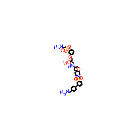 NCc1ccc(-c2cccc(S(=O)(=O)N3CCC4(CC3)C[C@@H](NC[C@H](O)COc3cccc(S(=O)(=O)CC(N)=O)c3)CO4)c2)cc1